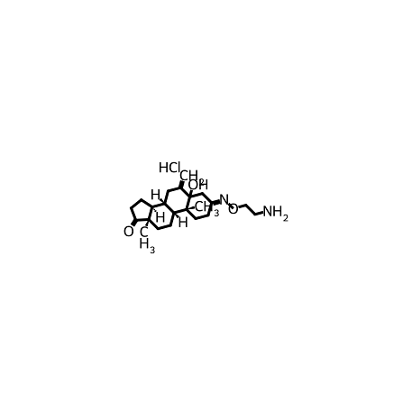 C=C1C[C@@H]2[C@@H](CC[C@]3(C)C(=O)CC[C@@H]23)[C@@]2(C)CCC(=NOCCN)CC12O.Cl